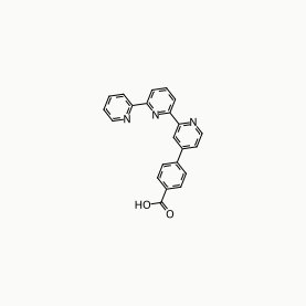 O=C(O)c1ccc(-c2ccnc(-c3cccc(-c4ccccn4)n3)c2)cc1